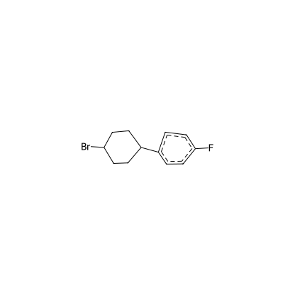 Fc1ccc(C2CCC(Br)CC2)cc1